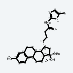 CCCC[C@]1(O)C[C@@H](CCCC(=O)Nc2ncc(C)s2)C2C3CCc4cc(O)ccc4C3CC[C@@]21C